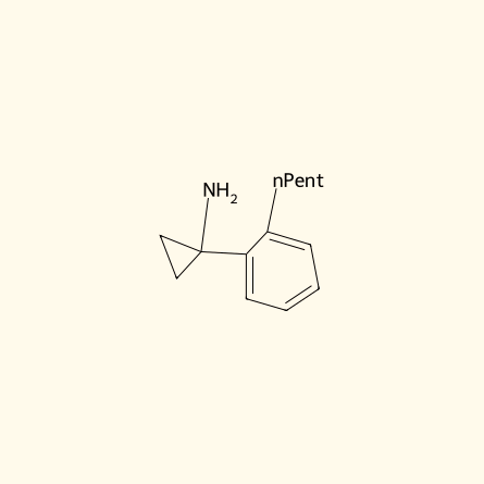 CCCCCc1ccccc1C1(N)CC1